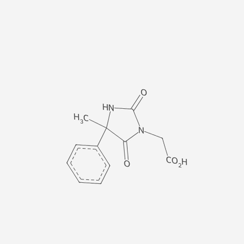 CC1(c2ccccc2)NC(=O)N(CC(=O)O)C1=O